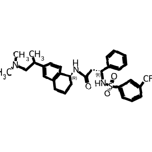 CC(CN(C)C)c1ccc2c(c1)CCC[C@H]2NC(=O)C[C@@H](NS(=O)(=O)c1cccc(C(F)(F)F)c1)c1ccccc1